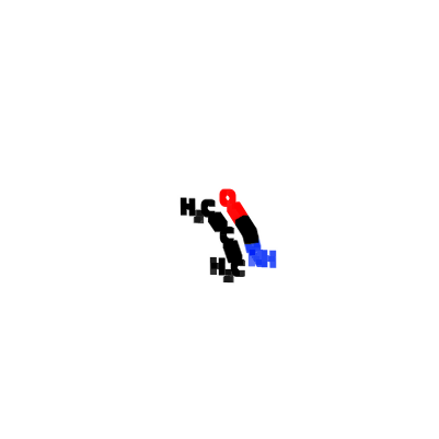 C=C=C.N=C=O